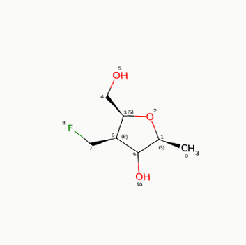 C[C@@H]1O[C@H](CO)[C@H](CF)C1O